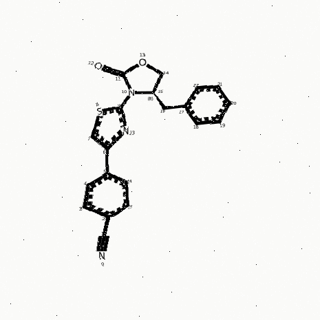 N#Cc1ccc(-c2csc(N3C(=O)OC[C@H]3Cc3ccccc3)n2)cc1